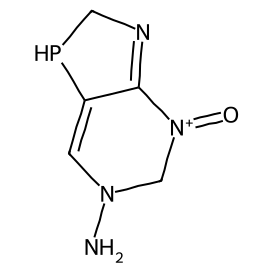 NN1C=C2PCN=C2[N+](=O)C1